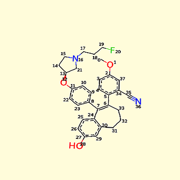 COc1ccc(C2=C(c3ccc(O[C@H]4CCN(CCCF)C4)cc3)c3ccc(O)cc3CCC2)c(C#N)c1